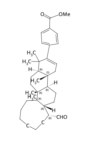 COC(=O)c1ccc(C2=CC[C@]3(C)[C@H]4CC[C@@H]5[C@H](C=O)CCCCCC[C@@]5(C)[C@]4(C)CC[C@H]3C2(C)C)cc1